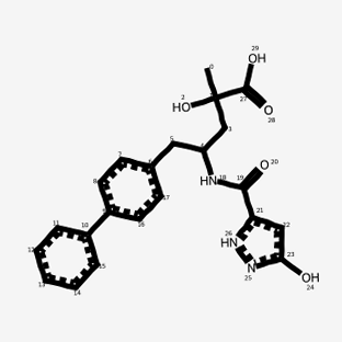 CC(O)(CC(Cc1ccc(-c2ccccc2)cc1)NC(=O)c1cc(O)n[nH]1)C(=O)O